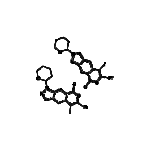 CC(C)c1oc(=O)c2cc3c(cnn3C3CCCCO3)cc2c1I.CC(C)c1oc(=O)c2cc3nn(C4CCCCO4)cc3cc2c1I